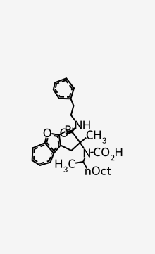 CCCCCCCCC(C)N(C(=O)O)C(C)(Cc1c(Br)oc2ccccc12)C(=O)NCCc1ccccc1